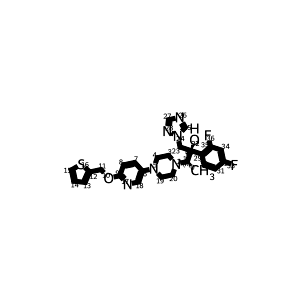 C[C@@H](N1CCN(c2ccc(OCc3cccs3)nc2)CC1)[C@](O)(Cn1cncn1)c1ccc(F)cc1F